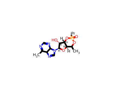 CC1=NC=NC2C1N=CN2[C@@H]1O[C@@H]2C(C)OP(=O)(C(C)C)O[C@H]2[C@H]1O